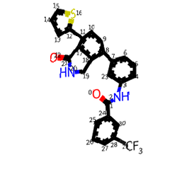 O=C(Nc1cccc(-c2ccc(-c3cccs3)c3c2CNC3=O)c1)c1cccc(C(F)(F)F)c1